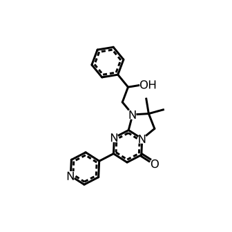 CC1(C)Cn2c(nc(-c3ccncc3)cc2=O)N1CC(O)c1ccccc1